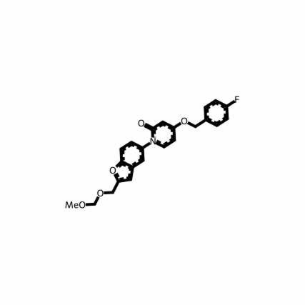 COCOCc1cc2cc(-n3ccc(OCc4ccc(F)cc4)cc3=O)ccc2o1